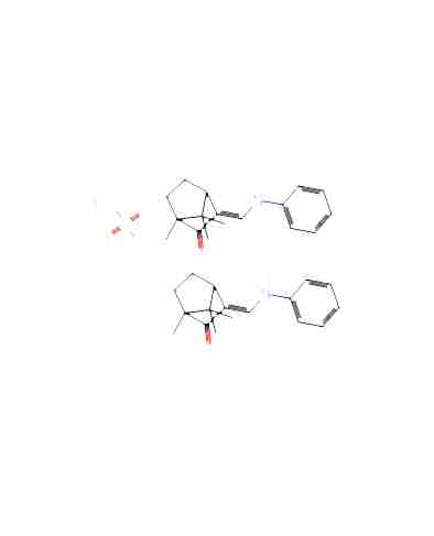 CC12CCC(C(=CNc3ccccc3)C1=O)C2(C)C.CC12CCC(C(=CNc3ccccc3)C1=O)C2(C)C.O=S(=O)(O)O